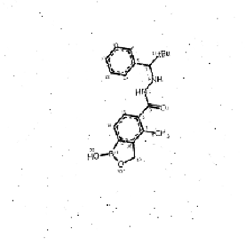 Cc1c(C(=O)NNC(c2ccccc2)C(C)(C)C)ccc2c1COB2O